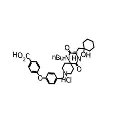 CCCCN1C(=O)[C@@H](CC2(O)CCCCC2)NC(=O)C12CCN(Cc1ccc(Oc3ccc(C(=O)O)cc3)cc1)CC2.Cl